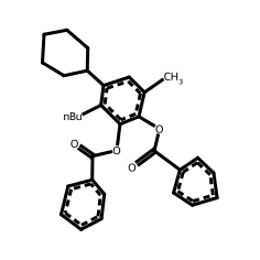 CCCCc1c(C2CCCCC2)cc(C)c(OC(=O)c2ccccc2)c1OC(=O)c1ccccc1